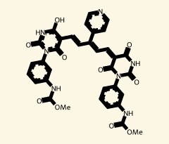 COC(=O)Nc1cccc(N2C(=O)NC(=O)C(=CC=C(C=Cc3c(O)[nH]c(=O)n(-c4cccc(NC(=O)OC)c4)c3=O)c3ccncc3)C2=O)c1